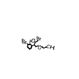 C#CCCOCCC(C(=O)CBr)c1cccc(Br)c1F